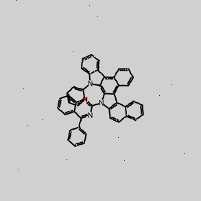 c1ccc(-c2nc(-n3c4ccc5ccccc5c4c4c5ccccc5c5c6ccccc6n(-c6ccccc6)c5c43)nc3ccccc23)cc1